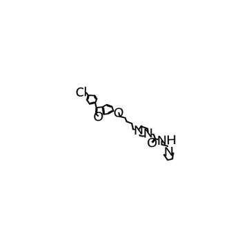 O=C(CN1CCN(CCCCCOc2ccc3c(-c4ccc(Cl)cc4)coc3c2)CC1)NCCN1CCCC1